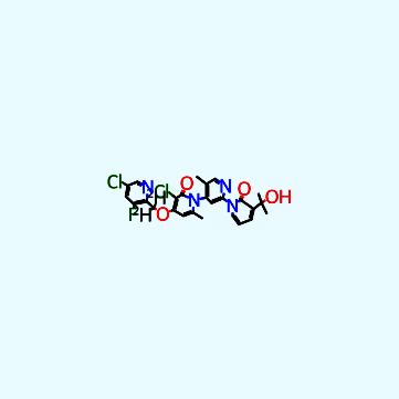 [2H]C([2H])(Oc1cc(C)n(-c2cc(-n3cccc(C(C)(C)O)c3=O)ncc2C)c(=O)c1Cl)c1ncc(Cl)cc1F